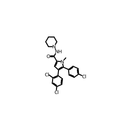 Cn1c(C(=O)NN2CCCCC2)cc(-c2ccc(Cl)cc2Cl)c1-c1ccc(Cl)cc1